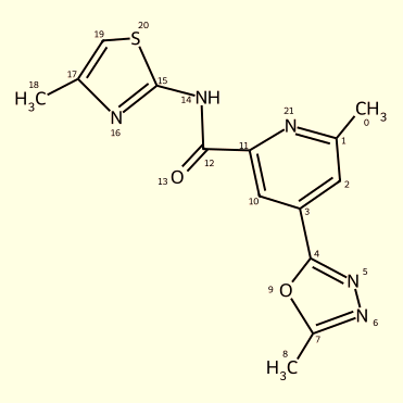 Cc1cc(-c2nnc(C)o2)cc(C(=O)Nc2nc(C)cs2)n1